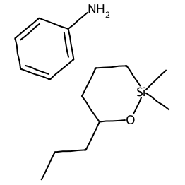 CCCC1CCC[Si](C)(C)O1.Nc1ccccc1